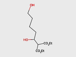 CCOC(=O)C(C(=O)OCC)C(O)CCCCO